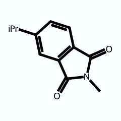 CC(C)c1ccc2c(c1)C(=O)N(C)C2=O